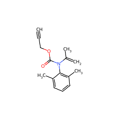 C#CCOC(=O)N(C(=C)C)c1c(C)cccc1C